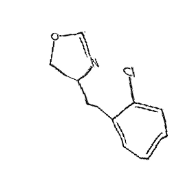 Clc1ccccc1CC1CO[C]=N1